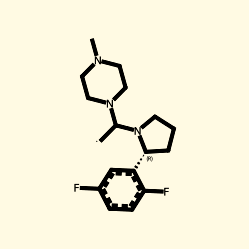 [CH2]C(N1CCN(C)CC1)N1CCC[C@@H]1c1cc(F)ccc1F